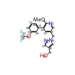 COc1ncc(Cn2cc(CO)cn2)cc1-c1cccc(OC(F)F)c1